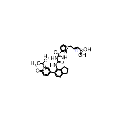 CC(C)n1cc(-c2ccc3c(c2NC(=O)NS(=N)(=O)c2ccn(C/C=C/B(O)O)n2)CCC3)ccc1=O